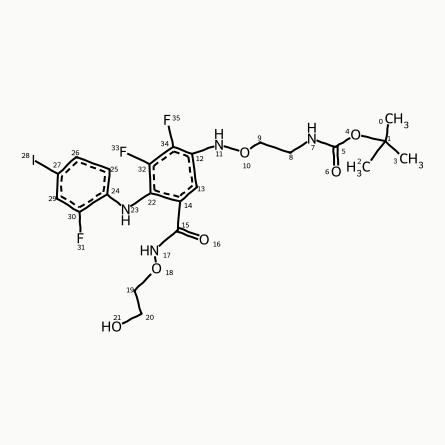 CC(C)(C)OC(=O)NCCONc1cc(C(=O)NOCCO)c(Nc2ccc(I)cc2F)c(F)c1F